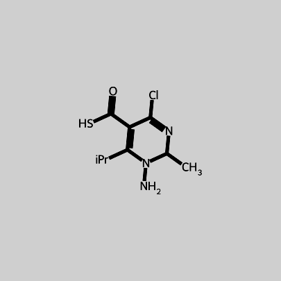 CC(C)C1=C(C(=O)S)C(Cl)=NC(C)N1N